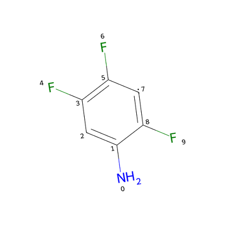 Nc1cc(F)c(F)[c]c1F